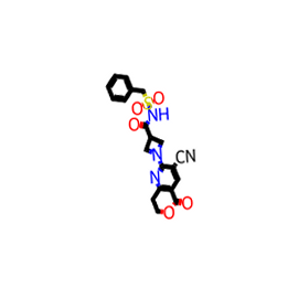 N#Cc1cc2c(nc1N1CC(C(=O)NS(=O)(=O)Cc3ccccc3)C1)CCOC2=O